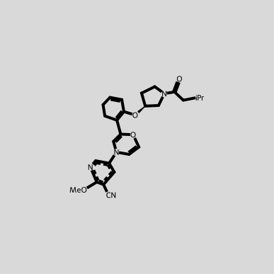 COc1ncc(N2C=COC(C3=C(O[C@H]4CCN(C(=O)CC(C)C)C4)C=CCC3)=C2)cc1C#N